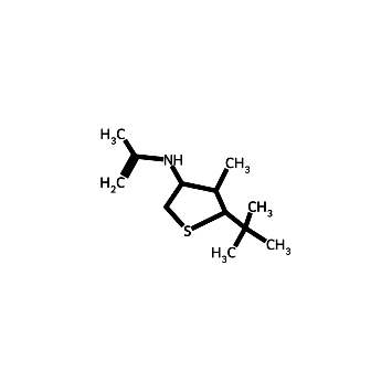 C=C(C)NC1CSC(C(C)(C)C)C1C